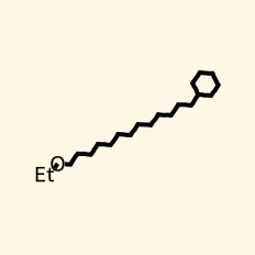 CCOCCCCCCCCCCCCCC1CCCCC1